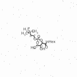 CCCCCCC(=O)C(OP(=O)([O-])OCC[N+](C)(C)C)[C@@H](O)CO